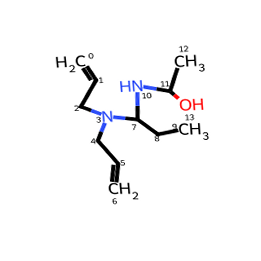 C=CCN(CC=C)C(CC)NC(C)O